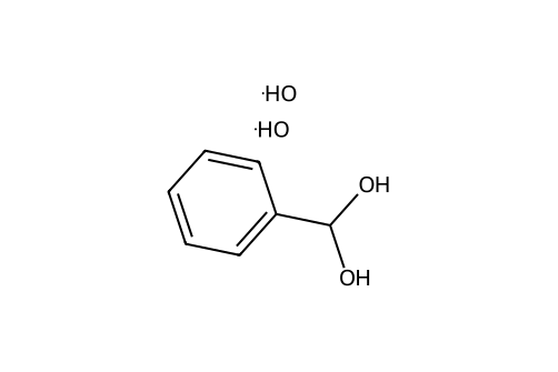 OC(O)c1ccccc1.[OH].[OH]